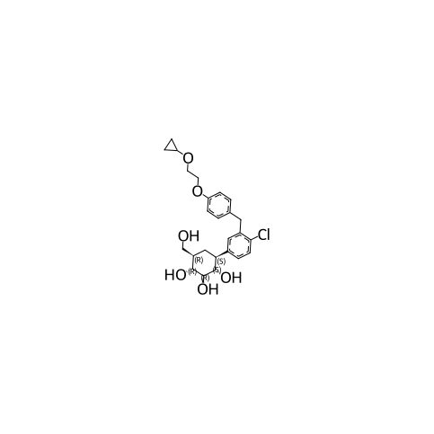 OC[C@H]1C[C@@H](c2ccc(Cl)c(Cc3ccc(OCCOC4CC4)cc3)c2)[C@H](O)[C@@H](O)[C@@H]1O